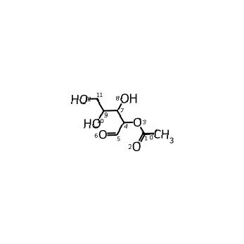 CC(=O)OC(C=O)C(O)C(O)CO